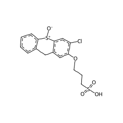 O=S(=O)(O)CCCOc1cc2c(cc1Cl)[S+]([O-])c1ccccc1C2